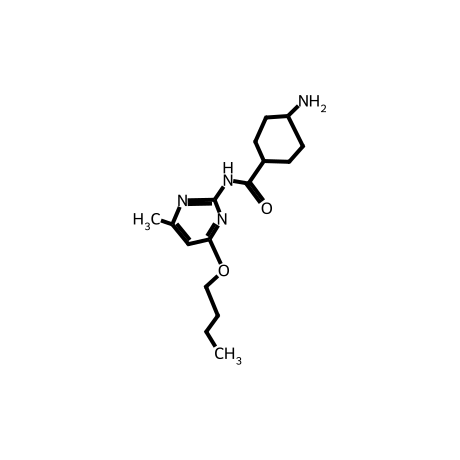 CCCCOc1cc(C)nc(NC(=O)C2CCC(N)CC2)n1